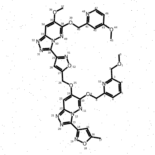 COCc1cccc(COc2nn3c(-c4cc(C)on4)nnc3cc2OCc2cc(-c3nnc4cc(OC)c(OCc5cc(OC)ccn5)nn34)no2)n1